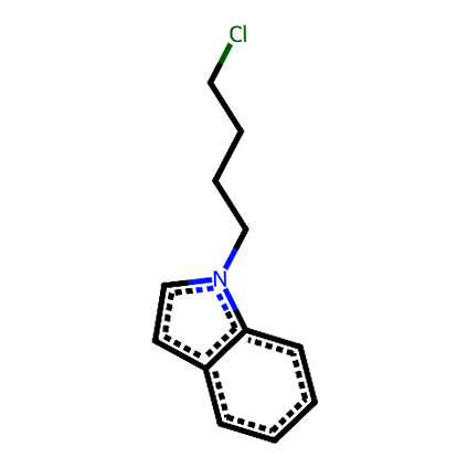 ClCCCCn1ccc2ccccc21